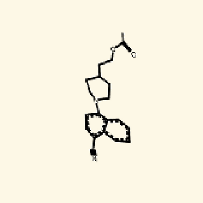 CC(=O)OCCC1CCN(c2ccc(C#N)c3ccccc23)CC1